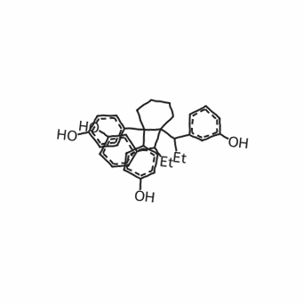 CCC(c1cccc(O)c1)C1(C(CC)c2cccc(O)c2)CCCCC1(c1ccc(O)cc1)c1ccc(O)cc1